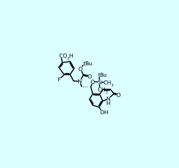 CC(C)(C)OC(=O)N(Cc1ccc(C(=O)O)cc1F)C[C@H](O[Si](C)(C)C(C)(C)C)c1ccc(O)c2[nH]c(=O)ccc12